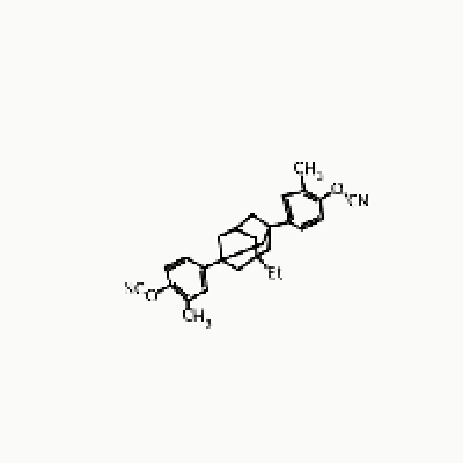 CCC12CC3CC(c4ccc(OC#N)c(C)c4)(C1)CC(c1ccc(OC#N)c(C)c1)(C3)C2